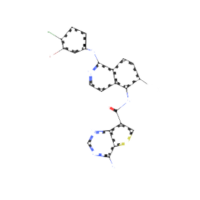 Cc1ccc2c(Nc3ccc(Cl)c(Br)c3)nccc2c1NC(=O)c1csc2c(N)ncnc12